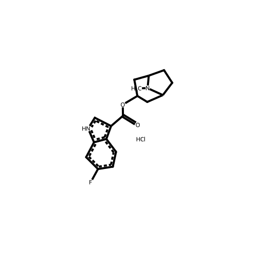 CN1C2CCC1CC(OC(=O)c1c[nH]c3cc(F)ccc13)C2.Cl